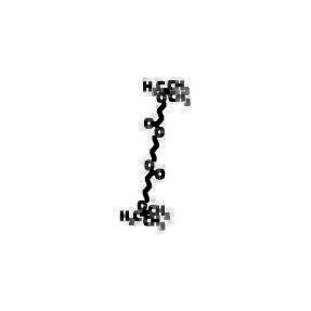 CC(C)(C)OCCCCC(=O)OCCCCOC(=O)CCCOC(C)(C)C